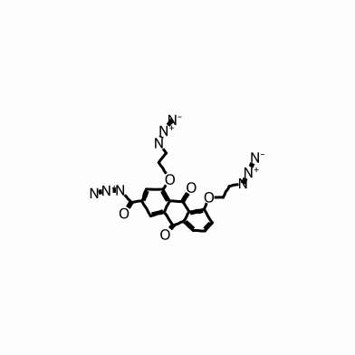 [N-]=[N+]=NCCOc1cccc2c1C(=O)c1c(OCCN=[N+]=[N-])cc(C(=O)N=[N+]=[N-])cc1C2=O